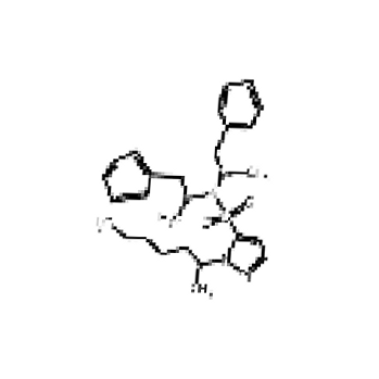 CCCCCC(C)n1nccc1S(=O)(=O)N(B(C)Cc1ccccc1)B(C)Cc1ccccc1